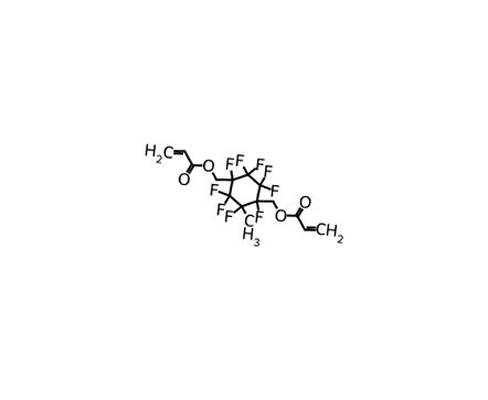 C=CC(=O)OCC1(F)C(C)(F)C(F)(F)C(F)(COC(=O)C=C)C(F)(F)C1(F)F